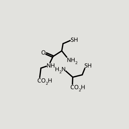 NC(CS)C(=O)NCC(=O)O.NC(CS)C(=O)O